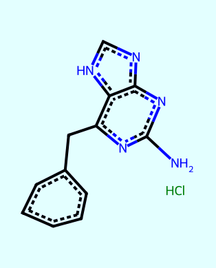 Cl.Nc1nc(Cc2ccccc2)c2[nH]cnc2n1